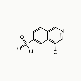 O=S(=O)(Cl)c1ccc2cncc(Cl)c2c1